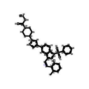 Cc1cccc(Cl)c1/C=C\c1cn(S(=O)(=O)c2ccccc2)c2ncc(-c3cnn(C4CCN(C(=O)OC(C)(C)C)CC4)c3)cc12